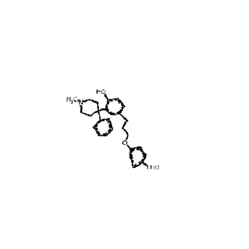 CN1CCC(c2ccccc2)(c2cc(CCCOc3ccc(C=O)cc3)ccc2O)CC1